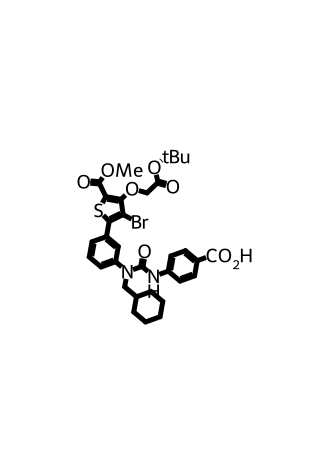 COC(=O)c1sc(-c2cccc(N(CC3CCCCC3)C(=O)Nc3ccc(C(=O)O)cc3)c2)c(Br)c1OCC(=O)OC(C)(C)C